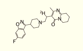 [2H]C(CN1CCC(c2noc3cc(F)ccc23)CC1)c1c(C)nc2n(c1=O)CCCC2